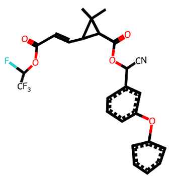 CC1(C)C(/C=C/C(=O)OC(F)C(F)(F)F)C1C(=O)OC(C#N)c1cccc(Oc2ccccc2)c1